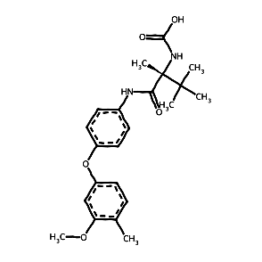 COc1cc(Oc2ccc(NC(=O)[C@](C)(NC(=O)O)C(C)(C)C)cc2)ccc1C